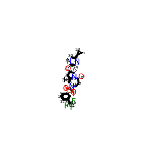 O=C1CCN(S(=O)(=O)c2cccc(C(F)(F)F)c2)C[C@@H]2C[C@H](Oc3cnc(C4CC4)cn3)CN12